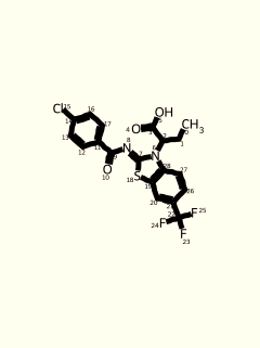 CCC(C(=O)O)n1c(=NC(=O)c2ccc(Cl)cc2)sc2cc(C(F)(F)F)ccc21